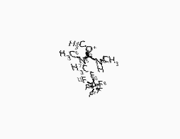 CNC(=[O+]C)N(C)C.F[P-](F)(F)(F)(F)F